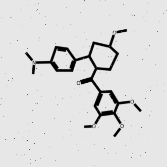 COc1cc(C(=O)C2CCC(OC)CC2c2ccc(N(C)C)cc2)cc(OC)c1OC